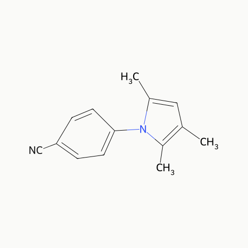 Cc1cc(C)n(-c2ccc(C#N)cc2)c1C